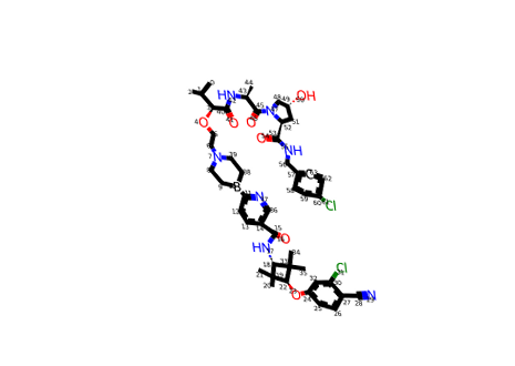 CC(C)[C@H](OCCN1CCB(c2ccc(C(=O)N[C@H]3C(C)(C)[C@H](Oc4ccc(C#N)c(Cl)c4)C3(C)C)cn2)CC1)C(=O)N[C@@H](C)C(=O)N1C[C@H](O)C[C@H]1C(=O)NCc1ccc(Cl)cc1